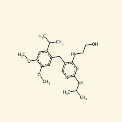 COc1cc(Cc2cnc(NC(C)C)nc2NCCO)c(C(C)C)cc1OC